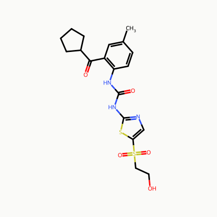 Cc1ccc(NC(=O)Nc2ncc(S(=O)(=O)CCO)s2)c(C(=O)C2CCCC2)c1